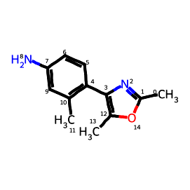 Cc1nc(-c2ccc(N)cc2C)c(C)o1